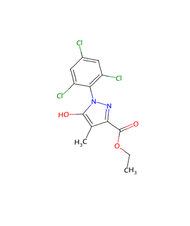 CCOC(=O)c1nn(-c2c(Cl)cc(Cl)cc2Cl)c(O)c1C